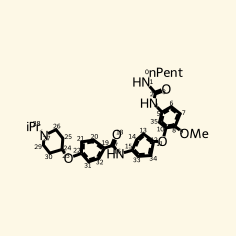 CCCCCNC(=O)Nc1ccc(OC)c(Oc2ccc(NC(=O)c3ccc(OC4CCN(C(C)C)CC4)cc3)cc2)c1